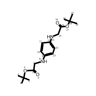 CC(C)(C)OC(=O)CNc1ccc(NCC(=O)OC(C)(C)C)cc1